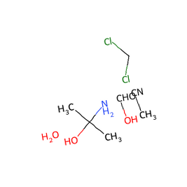 CC#N.CC(C)(N)O.ClCCl.O.O=CO